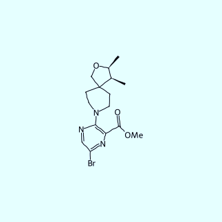 COC(=O)c1nc(Br)cnc1N1CCC2(CC1)CO[C@@H](C)[C@H]2C